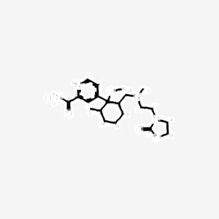 COC1(c2ccnc(C(N)=O)c2)C(C)CCCC1CN(C)CCN1CCOC1=O